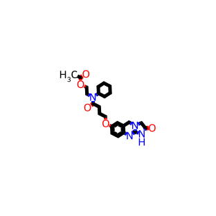 CC(=O)OCCN(C(=O)CCCOc1ccc2c(c1)CN1CC(=O)NC1=N2)C1CCCCC1